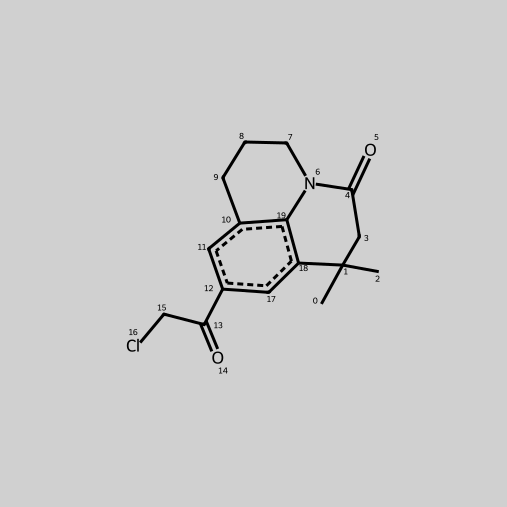 CC1(C)CC(=O)N2CCCc3cc(C(=O)CCl)cc1c32